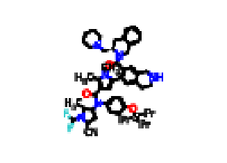 Cc1c(C(=O)N(c2ccc(O[Si](C(C)C)(C(C)C)C(C)C)cc2)C2CC(C#N)N(C(F)F)C2C)cc(-c2cc3c(cc2C(=O)N2Cc4ccccc4C[C@H]2CN2CCCCC2)CNCC3)n1C